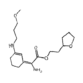 COCCCNC1=C/C(=C(/N)C(=O)OCCC2CCCO2)CCC1